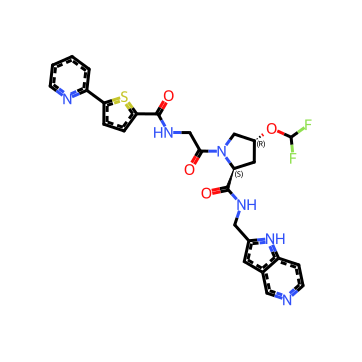 O=C(NCC(=O)N1C[C@H](OC(F)F)C[C@H]1C(=O)NCc1cc2cnccc2[nH]1)c1ccc(-c2ccccn2)s1